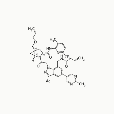 C=CCOC[C@@]12C[C@@H](C(=O)Nc3nc(C(F)(F)F)ccc3C)N(C(=O)Cn3nc(C(C)=O)c4cc(-c5cnc(C)nc5)cc(CNC(=O)CC=C)c43)[C@@H]1C2